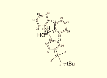 CC(C)(C)CC(C)(C)c1ccc([PH](O)(c2ccccc2)c2ccccc2)cc1